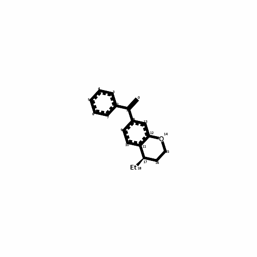 C=C(c1ccccc1)c1ccc2c(c1)OCC[C@H]2CC